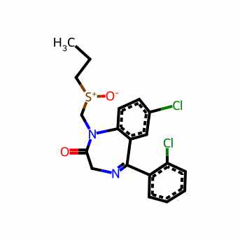 CCC[S+]([O-])CN1C(=O)CN=C(c2ccccc2Cl)c2cc(Cl)ccc21